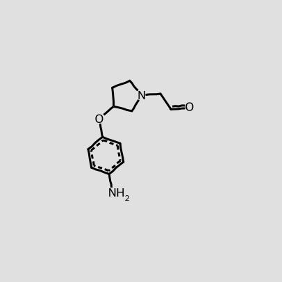 Nc1ccc(OC2CCN(CC=O)C2)cc1